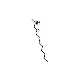 CCCCCCCCOCNC